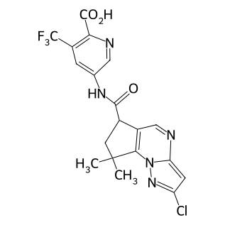 CC1(C)CC(C(=O)Nc2cnc(C(=O)O)c(C(F)(F)F)c2)c2cnc3cc(Cl)nn3c21